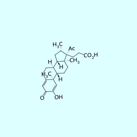 CC(=O)[C@@]1(CCC(=O)O)[C@@H](C)C[C@H]2[C@@H]3CCC4=CC(=O)C(O)=C[C@]4(C)[C@H]3CC[C@@]21C